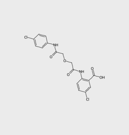 O=C(COCC(=O)Nc1ccc(Cl)cc1C(=O)O)Nc1ccc(Cl)cc1